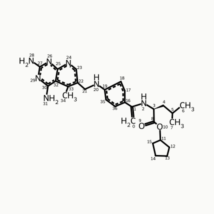 C=C(N[C@@H](CC(C)C)C(=O)OC1CCCC1)c1ccc(NCc2cnc3nc(N)nc(N)c3c2C)cc1